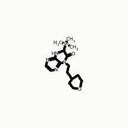 [CH3][Sn]([CH3])([CH3])[CH]1Nc2nccnc2N(CCC2CCOCC2)C1=O